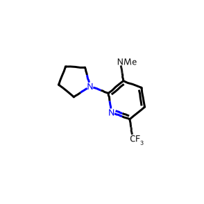 CNc1ccc(C(F)(F)F)nc1N1CCCC1